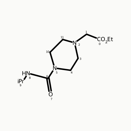 CCOC(=O)CN1CCN(C(=O)NC(C)C)CC1